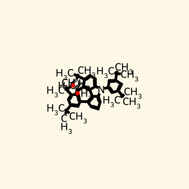 CC(C)c1c(C(C)(C)C)ccc2c1c1c(-c3cc(C(C)(C)C)cc(C(C)(C)C)c3)cccc1n2-c1cc(C(C)(C)C)cc(C(C)(C)C)c1